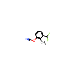 Cc1c(OC#N)cccc1C(F)F